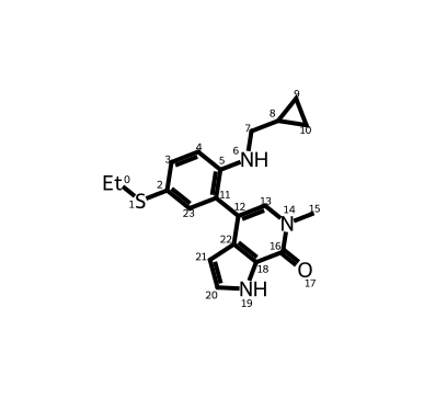 CCSc1ccc(NCC2CC2)c(-c2cn(C)c(=O)c3[nH]ccc23)c1